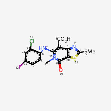 CSc1nc2c(C(=O)O)c(Nc3ccc(I)cc3Cl)n(C)c(=O)c2s1